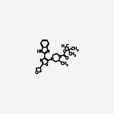 CC1CN(c2sc(C3COC3)nc2-c2nc3ccccc3[nH]2)CCN1C(=O)OC(C)(C)C